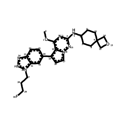 COc1nc(NC2CCC3(CC2)COC3)nn2ccc(-c3ccc4nnn(CCCF)c4c3)c12